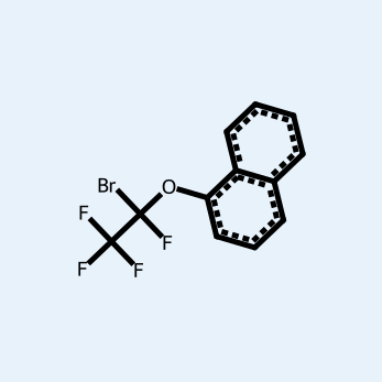 FC(F)(F)C(F)(Br)Oc1cccc2ccccc12